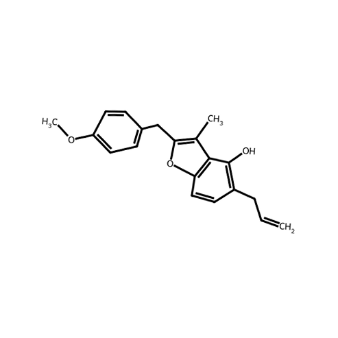 C=CCc1ccc2oc(Cc3ccc(OC)cc3)c(C)c2c1O